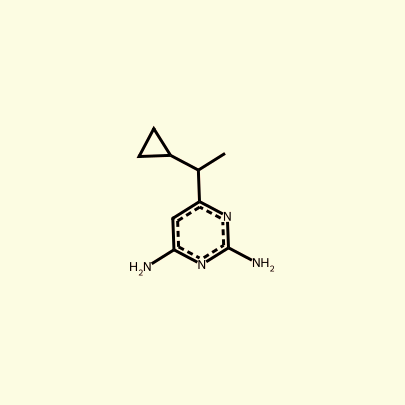 CC(c1cc(N)nc(N)n1)C1CC1